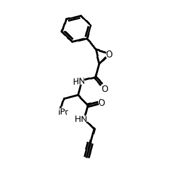 C#CCNC(=O)C(CC(C)C)NC(=O)C1OC1c1ccccc1